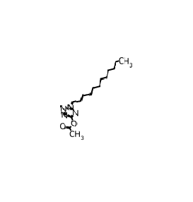 CCCCCCCCCCCCn1nnc(OC(C)=O)n1